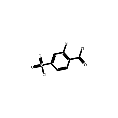 O=C(Cl)c1ccc(S(=O)(=O)Cl)cc1Br